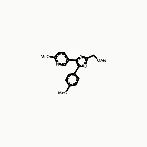 COCc1nc(-c2ccc(OC)nc2)c(-c2ccc(OC)cc2)o1